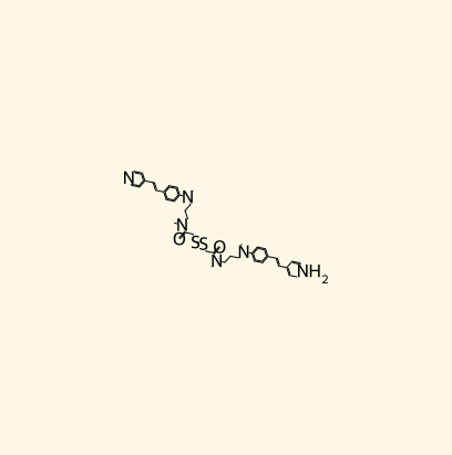 C/C=C(\C=C/N)/C=C/c1ccc(N(C)CCCN(C)C(=O)CSSCC(=O)N(C)CCCN(C)c2ccc(/C=C/c3ccncc3)cc2)cc1